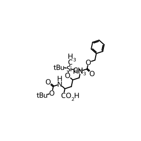 CC(C)(C)OC(=O)NC(CC(CNC(=O)OCc1ccccc1)O[Si](C)(C)C(C)(C)C)C(=O)O